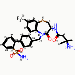 CC(C)(N)CC(=O)N[C@@H]1CSc2cc(C(F)(F)F)ccc2N(Cc2ccc(-c3ccccc3S(N)(=O)=O)cc2)C1=O